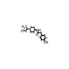 CC(CCl)N1CCC(NC(=O)Cc2ccc(C#N)cc2)CC1